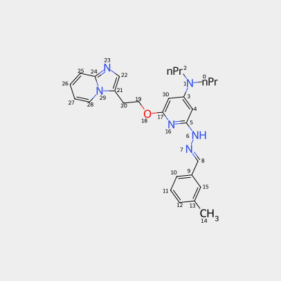 CCCN(CCC)c1cc(N/N=C/c2cccc(C)c2)nc(OCCc2cnc3ccccn23)c1